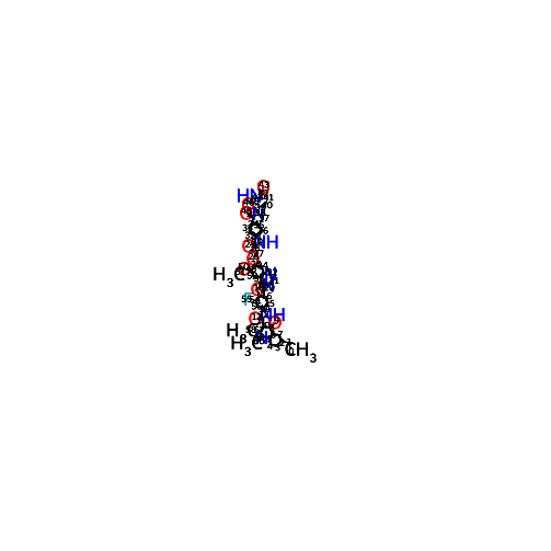 CCc1ccc2c(c1)c(=O)c(C(=O)Nc1ccc(Oc3ncnc4cc(OCC(=O)Nc5ccc6c(c5)CN(C5CCC(=O)NC5=O)C6=O)c(OC)cc34)c(F)c1)c(C)n2C